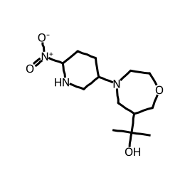 CC(C)(O)C1COCCN(C2CCC([N+](=O)[O-])NC2)C1